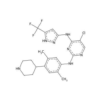 Cc1cc(C2CCNCC2)c(C)cc1Nc1ncc(Cl)c(Nc2cc(C(F)(F)F)[nH]n2)n1